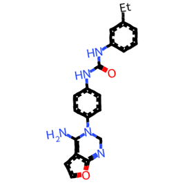 CCc1cccc(NC(=O)Nc2ccc(N3CN=c4occc4=C3N)cc2)c1